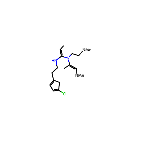 C/C=C(/NCCC1=CC=C(Cl)C1)N(CCNC)/C(C)=C/NC